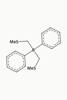 CSC[B-](CSC)(c1ccccc1)c1ccccc1